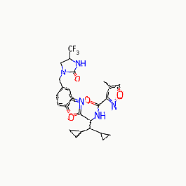 Cc1conc1C(=O)NC(c1nc2cc(CN3CC(C(F)(F)F)NC3=O)ccc2o1)C(C1CC1)C1CC1